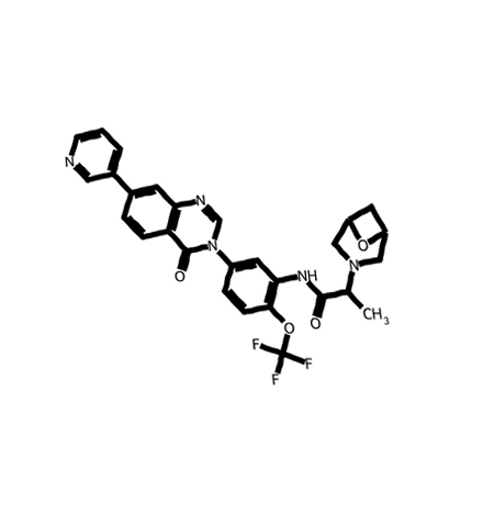 CC(C(=O)Nc1cc(-n2cnc3cc(-c4cccnc4)ccc3c2=O)ccc1OC(F)(F)F)N1CC2CC(C1)O2